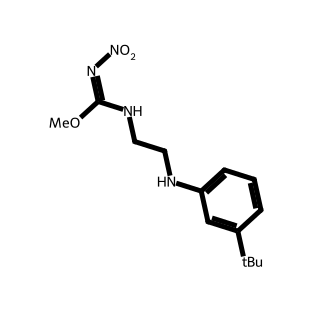 CO/C(=N/[N+](=O)[O-])NCCNc1cccc(C(C)(C)C)c1